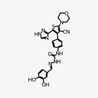 N#Cc1c(N2CCOCC2)sc(-c2nc[nH]n2)c1-c1ccc(NC(=O)N/N=C/c2ccc(O)c(O)c2)cc1